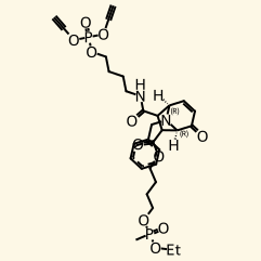 C#COP(=O)(OC#C)OCCCCNC(=O)C1C(C(=O)OCCCCOP(C)(=O)OCC)[C@@H]2C(=O)C=C[C@H]1N2Cc1ccccc1